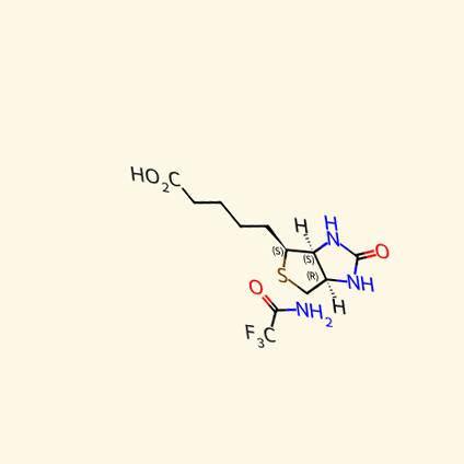 NC(=O)C(F)(F)F.O=C(O)CCCC[C@@H]1SC[C@@H]2NC(=O)N[C@@H]21